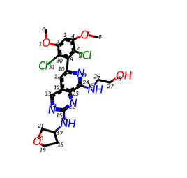 COc1cc(OC)c(Cl)c(-c2cc3cnc(NC4CCOC4)nc3c(NCCO)n2)c1Cl